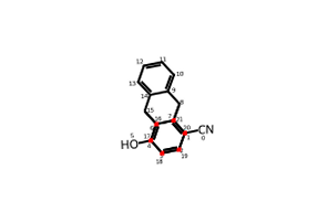 N#Cc1ccc(O)c2c1C1c3ccccc3C2c2ccccc21